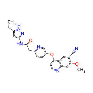 CCc1cc(NC(=O)Cc2ccc(Oc3ccnc4cc(OC)c(C#N)cc34)cn2)n[nH]1